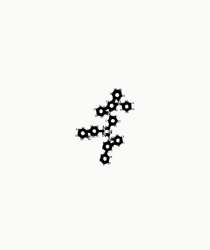 c1ccc(-c2ccc3c(c2)c2ccccc2n3-c2nc(-c3cccc(-n4c5ccccc5c5cc6c7ccccc7n(-c7ccccc7)c6cc54)c3)nc(-c3ccc4c(c3)oc3ccccc34)n2)cc1